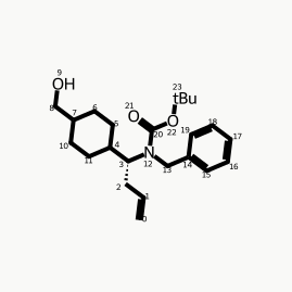 C=CC[C@H](C1CCC(CO)CC1)N(Cc1ccccc1)C(=O)OC(C)(C)C